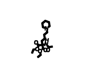 CCOC(=O)C(CCCCN1CCCCC1)(NC(C)=O)C(=O)OCC